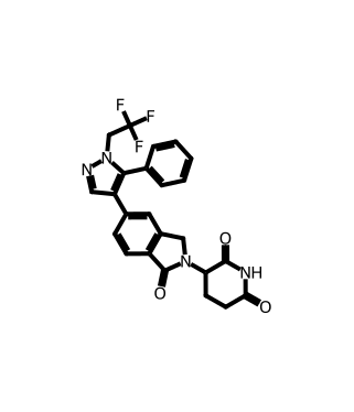 O=C1CCC(N2Cc3cc(-c4cnn(CC(F)(F)F)c4-c4ccccc4)ccc3C2=O)C(=O)N1